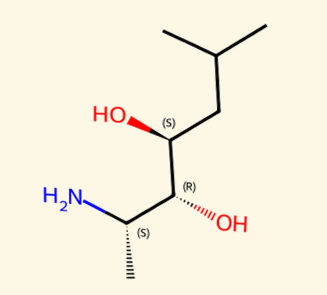 CC(C)C[C@H](O)[C@H](O)[C@H](C)N